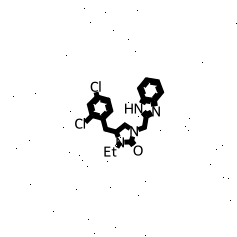 CCN1C(=O)N(Cc2nc3ccccc3[nH]2)CC1Cc1ccc(Cl)cc1Cl